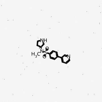 CN([C@@H]1CCNC1)S(=O)(=O)c1ccc(-c2cccnc2)cc1